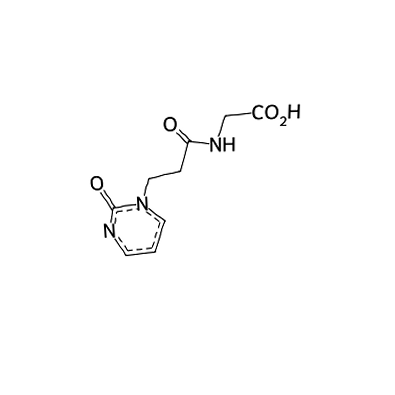 O=C(O)CNC(=O)CCn1cccnc1=O